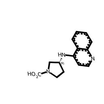 O=C(O)N1CC[C@@H](Nc2ccnc3ccccc23)C1